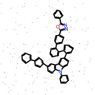 c1ccc(-c2ccc(-c3ccc4c(c3)c3cc(-c5ccccc5-c5ccccc5-c5ccc(-c6nnc(-c7ccccc7)o6)cc5)ccc3n4-c3ccccc3)cc2)cc1